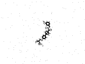 COc1cccc(CNC(=O)C23CCC(c4ccc(OC/C(=C/F)CN)cc4)(CC2)CC3)c1